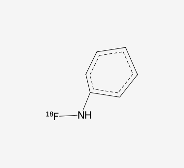 [18F]Nc1ccccc1